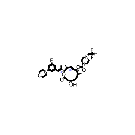 C/C(=C\c1cc(F)cc(N2CCOCC2)c1)[C@H]1OC(=O)C[C@H](O)CC[C@H](C)[C@@H](OC(=O)N2CCN(CC(F)(F)F)CC2)/C=C/[C@@H]1C